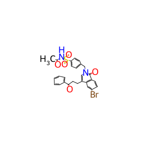 CC(=O)NS(=O)(=O)c1ccc(Cn2cc(CCC(=O)c3ccccc3)c3cc(Br)ccc3c2=O)cc1